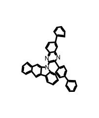 c1ccc(-c2ccc(-c3nc4cc(-c5ccccc5)ccc4nc3-n3c4ccccc4c4cc5ccccc5cc43)cc2)cc1